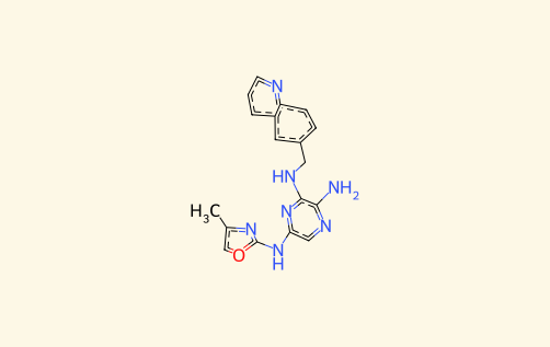 Cc1coc(Nc2cnc(N)c(NCc3ccc4ncccc4c3)n2)n1